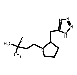 CC(C)(C)CCN1CCC[C@@H]1Cc1nnn[nH]1